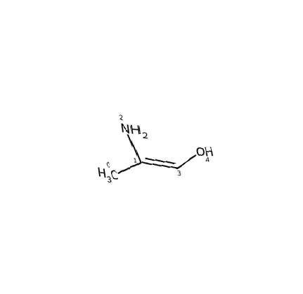 CC(N)=CO